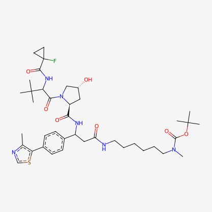 Cc1ncsc1-c1ccc(C(CC(=O)NCCCCCCN(C)C(=O)OC(C)(C)C)NC(=O)[C@@H]2C[C@@H](O)CN2C(=O)C(NC(=O)C2(F)CC2)C(C)(C)C)cc1